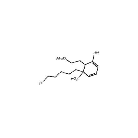 CCCCC1=CC=CC(CCCCCC(C)C)(C(=O)O)C1CCOC